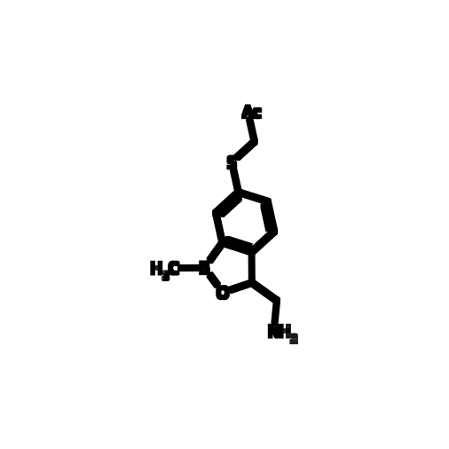 CB1OC(CN)c2ccc(SCC(C)=O)cc21